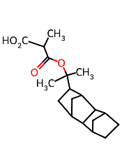 CC(C(=O)O)C(=O)OC(C)(C)C1CC2CC1C1C3CCC(C3)C21